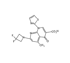 Cc1cc(N2CC(F)(F)C2)nc2c1c(=O)c(C(=O)O)cn2-c1nccs1